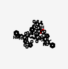 CC[C@H](C)[C@@H]([C@@H](CC(=O)N1CCC[C@H]1[C@H](OC)[C@@H](C)C(=O)N[C@H](C)[C@@H](O)c1ccccc1)OC)N(C)C(=O)[C@@H](NC(=O)[C@H](C(C)C)N(C)C(=O)OCc1ccc(NC(=O)[C@H](CCCNC(N)=O)NC(=O)[C@H](Cc2c[nH]c3ccccc23)NC(=O)CC(=O)ON2C(=O)CCC2=O)cc1)C(C)C